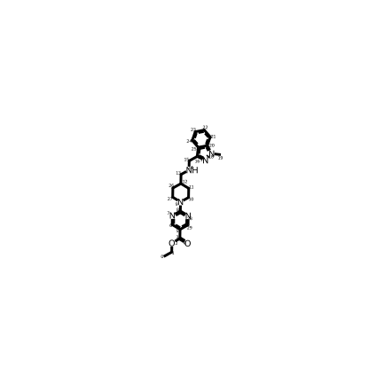 CCOC(=O)c1cnc(N2CCC(CNCc3nn(C)c4ccccc34)CC2)nc1